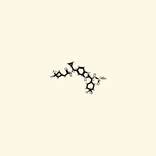 CC(C)(C)[S@@+]([O-])N[C@H](c1nc2ccc([C@@H](NC(=O)CC3CC(F)(F)C3)C3CC3)cc2[nH]1)C1CCC(F)(F)CC1